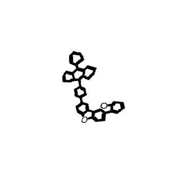 c1ccc(-c2c3ccccc3c(-c3ccc(-c4ccc5oc6ccc7c8ccccc8oc7c6c5c4)cc3)c3ccccc23)cc1